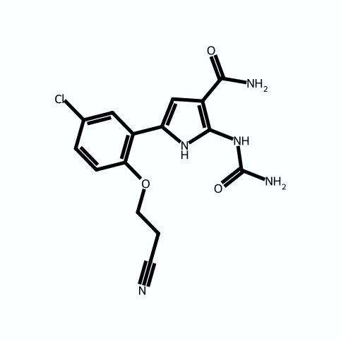 N#CCCOc1ccc(Cl)cc1-c1cc(C(N)=O)c(NC(N)=O)[nH]1